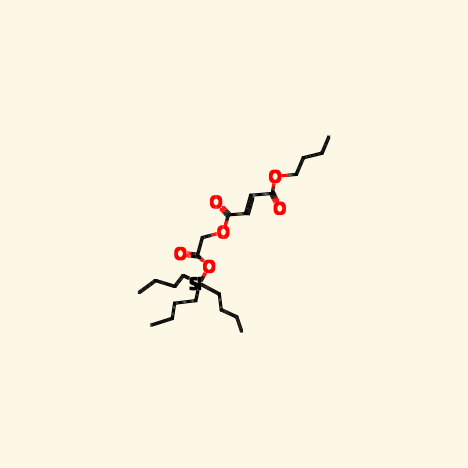 CCCCOC(=O)C=CC(=O)OCC(=O)O[Si](CCCC)(CCCC)CCCC